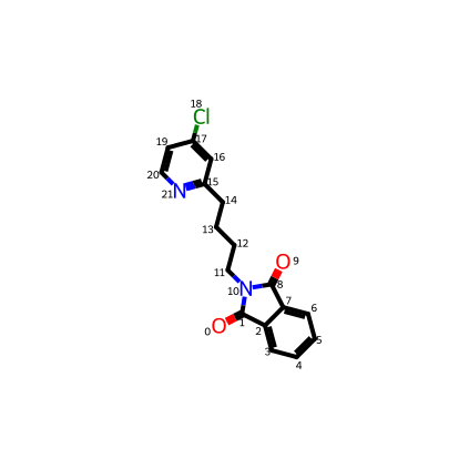 O=C1c2ccccc2C(=O)N1CCCCc1cc(Cl)ccn1